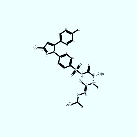 CC[C@@H](C)[C@@H](C(=O)NS(=O)(=O)c1ccc(-n2nc(C(F)(F)F)cc2-c2ccc(C)cc2)cc1)N(C)/[N+]([O-])=N/OC(C)OC(C)=O